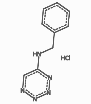 Cl.c1ccc(CNc2cnnnn2)cc1